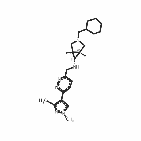 Cc1nn(C)cc1-c1ccc(CN[C@@H]2[C@@H]3CN(CC4CCCCC4)C[C@@H]32)nn1